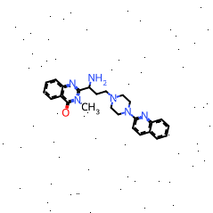 Cn1c(C(N)CCN2CCN(c3ccc4ccccc4n3)CC2)nc2ccccc2c1=O